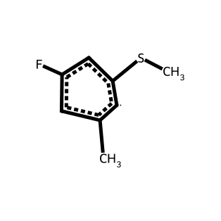 CSc1[c]c(C)cc(F)c1